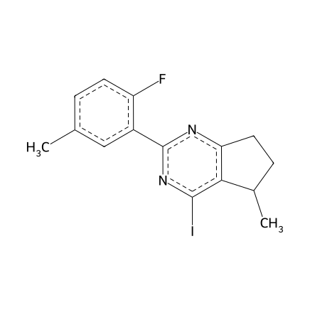 Cc1ccc(F)c(-c2nc(I)c3c(n2)CCC3C)c1